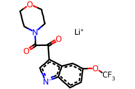 O=C(C(=O)N1CCOCC1)c1c[n-]c2ccc(OC(F)(F)F)cc12.[Li+]